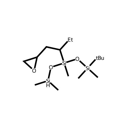 CCC(CC1CO1)[Si](C)(O[SiH](C)C)O[Si](C)(C)C(C)(C)C